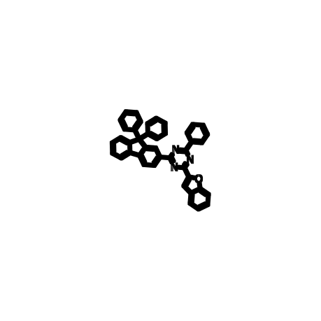 c1ccc(-c2nc(-c3ccc4c(c3)C(c3ccccc3)(c3ccccc3)c3ccccc3-4)nc(-c3cc4ccccc4o3)n2)cc1